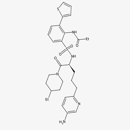 CCC(=O)Nc1c(-c2cccs2)cccc1S(=O)(=O)N[C@@H](CCCc1ccc(N)cn1)C(=O)N1CCC(CC)CC1